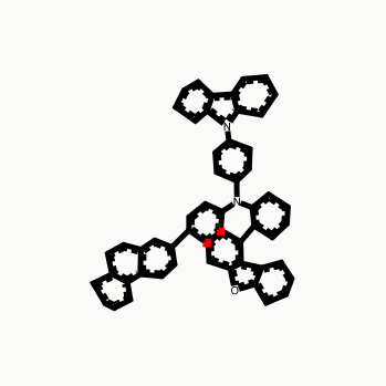 c1ccc(N(c2ccc(-c3ccc4c(ccc5ccccc54)c3)cc2)c2ccc(-n3c4ccccc4c4ccccc43)cc2)c(-c2cccc3oc4ccccc4c23)c1